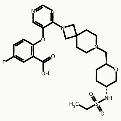 CCS(=O)(=O)N[C@@H]1CC[C@@H](CN2CCC3(CC2)CN(c2ncncc2Oc2ccc(F)cc2C(=O)O)C3)OC1